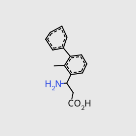 Cc1c(-c2ccccc2)cccc1C(N)CC(=O)O